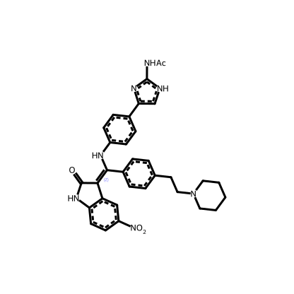 CC(=O)Nc1nc(-c2ccc(N/C(=C3\C(=O)Nc4ccc([N+](=O)[O-])cc43)c3ccc(CCN4CCCCC4)cc3)cc2)c[nH]1